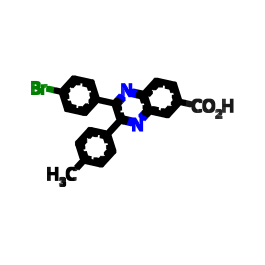 Cc1ccc(-c2nc3cc(C(=O)O)ccc3nc2-c2ccc(Br)cc2)cc1